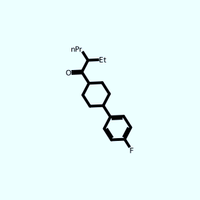 CCCC(CC)C(=O)C1CCC(c2ccc(F)cc2)CC1